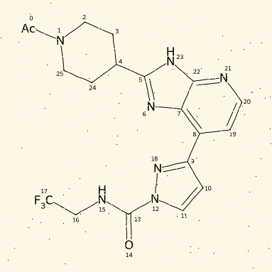 CC(=O)N1CCC(c2nc3c(-c4ccn(C(=O)NCC(F)(F)F)n4)ccnc3[nH]2)CC1